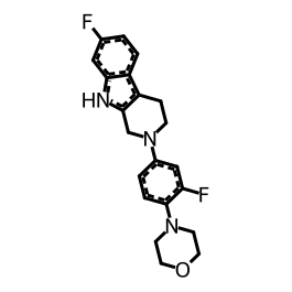 Fc1ccc2c3c([nH]c2c1)CN(c1ccc(N2CCOCC2)c(F)c1)CC3